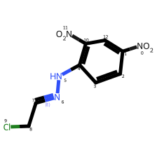 O=[N+]([O-])c1ccc(N/N=C/CCl)c([N+](=O)[O-])c1